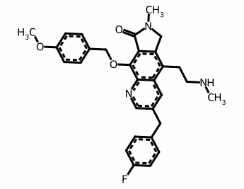 CNCCc1c2c(c(OCc3ccc(OC)cc3)c3ncc(Cc4ccc(F)cc4)cc13)C(=O)N(C)C2